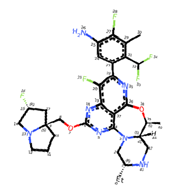 CC[C@@H]1CN2c3nc(OC[C@@]45CCCN4C[C@H](F)C5)nc4c(F)c(-c5cc(N)c(F)c(C)c5C(F)F)nc(c34)O[C@@H](C)[C@@H]2CN1